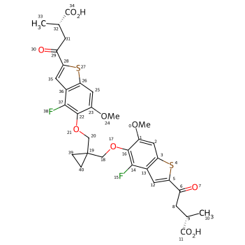 COc1cc2sc(C(=O)C[C@H](C)C(=O)O)cc2c(F)c1OCC1(COc2c(OC)cc3sc(C(=O)C[C@H](C)C(=O)O)cc3c2F)CC1